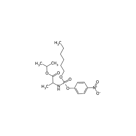 CCCCCCOP(=O)(NC(C)C(=O)OC(C)C)Oc1ccc([N+](=O)[O-])cc1